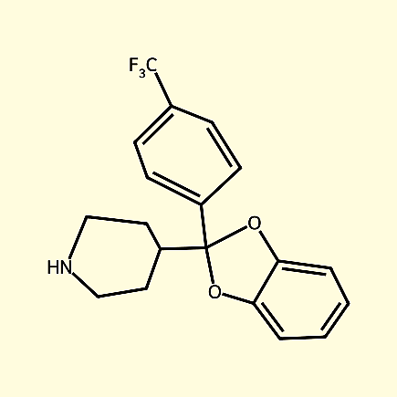 FC(F)(F)c1ccc(C2(C3CCNCC3)Oc3ccccc3O2)cc1